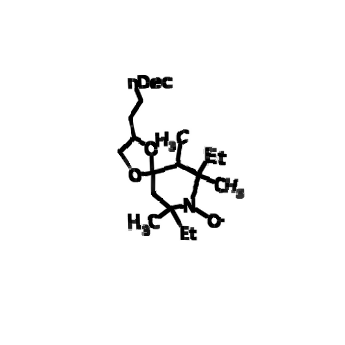 CCCCCCCCCCCCC1COC2(CC(C)(CC)N([O])C(C)(CC)C2C)O1